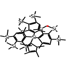 CC1=C(C)C(C)C([Si](c2c(C)cc([Si](C)(C)C)c([Si](C)(C)C)c2[Si](C)(C)C)(c2c(C)cc([Si](C)(C)C)c([Si](C)(C)C)c2[Si](C)(C)C)c2c(C)cc([Si](C)(C)C)c([Si](C)(C)C)c2[Si](C)(C)C)=C1C